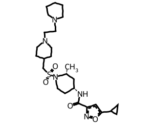 C[C@@H]1C[C@H](NC(=O)c2cc(C3CC3)on2)CCN1S(=O)(=O)CC1CCN(CCN2CCCCC2)CC1